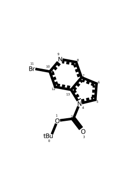 CC(C)(C)OC(=O)n1ccc2cnc(Br)cc21